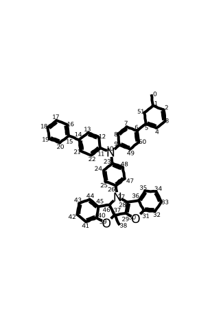 CC1C=CC=C(c2ccc(N(c3ccc(-c4ccccc4)cc3)c3ccc(N4c5c(oc6ccccc56)C5(C)Oc6ccccc6C45)cc3)cc2)C1